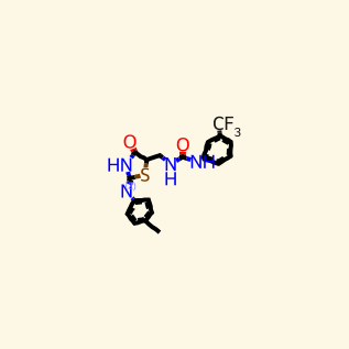 Cc1ccc(/N=C2/NC(=O)C(CNC(=O)Nc3cccc(C(F)(F)F)c3)S2)cc1